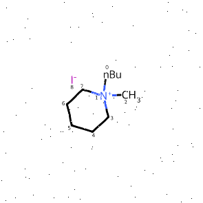 CCCC[N+]1(C)CCCCC1.[I-]